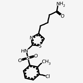 Cc1c(Cl)cccc1S(=O)(=O)Nc1nc(CCCC(N)=O)cs1